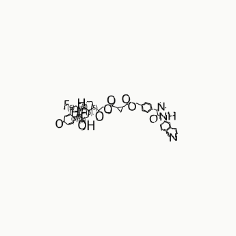 CN(C)C(C(=O)Nc1ccc2cnccc2c1)c1ccc(COC(=O)C2CC2C(=O)OCC(=O)[C@H]2CC[C@H]3[C@@H]4C[C@H](F)C5=CC(=O)C=C[C@]5(C)[C@@]4(F)[C@@H](O)C[C@]23C)cc1